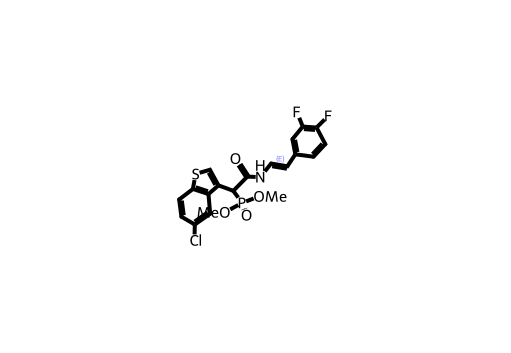 COP(=O)(OC)C(C(=O)N/C=C/c1ccc(F)c(F)c1)c1csc2ccc(Cl)cc12